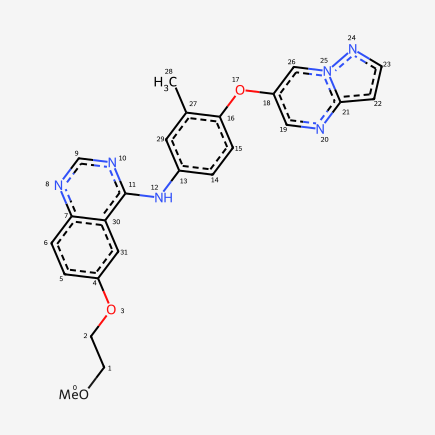 COCCOc1ccc2ncnc(Nc3ccc(Oc4cnc5ccnn5c4)c(C)c3)c2c1